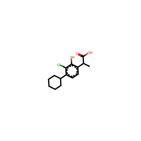 CC(C(=O)O)c1ccc(C2CCCCC2)c(Cl)c1S